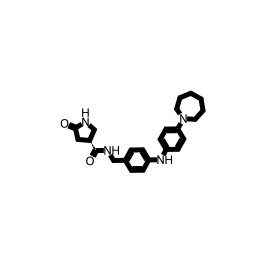 O=C1C[C@@H](C(=O)NCc2ccc(Nc3ccc(N4CCCCCC4)cc3)cc2)CN1